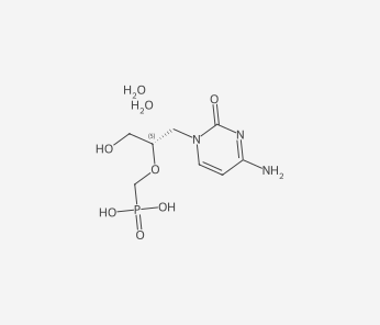 Nc1ccn(C[C@@H](CO)OCP(=O)(O)O)c(=O)n1.O.O